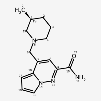 C[C@H]1CCCN(Cc2cc(C(N)=O)nn3cccc23)C1